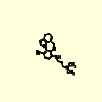 CN(C)CCCNc1ccc(Br)c2c1N=CC1=CCCc3ccn-2c31